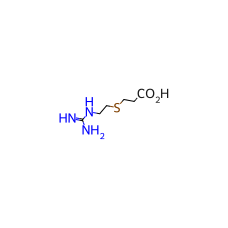 N=C(N)NCCSCCC(=O)O